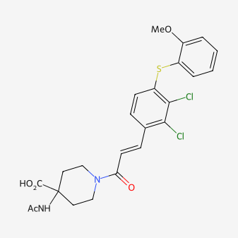 COc1ccccc1Sc1ccc(C=CC(=O)N2CCC(NC(C)=O)(C(=O)O)CC2)c(Cl)c1Cl